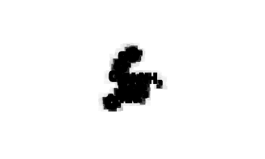 C[C@@H](NC(=O)[C@@H]1C[C@H](C2CCCCC2)CN1C(=O)CNC(=O)c1ccc(Oc2ccccc2)cc1)c1cc(C(=N)N)cs1